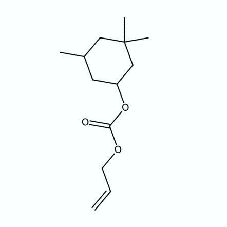 C=CCOC(=O)OC1CC(C)CC(C)(C)C1